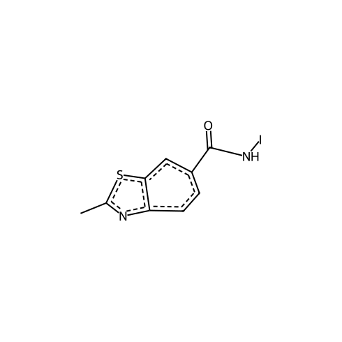 Cc1nc2ccc(C(=O)NI)cc2s1